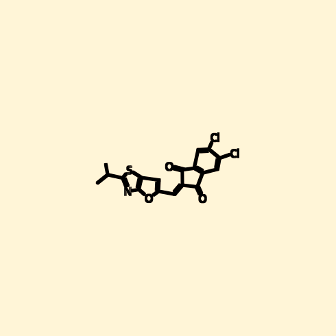 CC(C)c1nc2oc(C=C3C(=O)c4cc(Cl)c(Cl)cc4C3=O)cc2s1